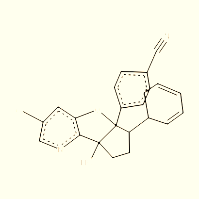 N#Cc1ccc(C23Oc4cc(Cl)cnc4C2(O)CCC3C2C=CC=CC2)cc1